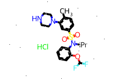 Cc1ccc(S(=O)(=O)N(c2ccccc2OC(F)F)C(C)C)cc1N1CCNCC1.Cl